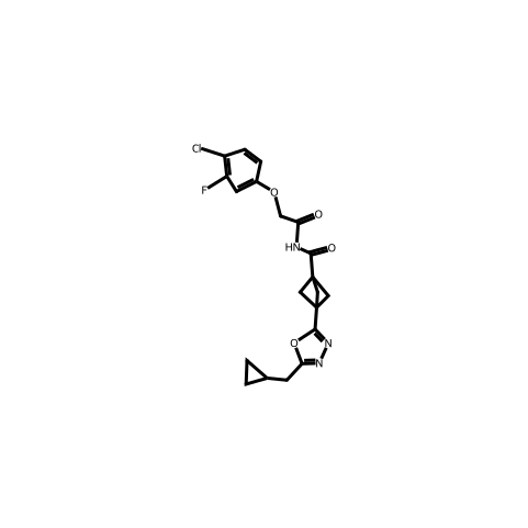 O=C(COc1ccc(Cl)c(F)c1)NC(=O)C12CC(c3nnc(CC4CC4)o3)(C1)C2